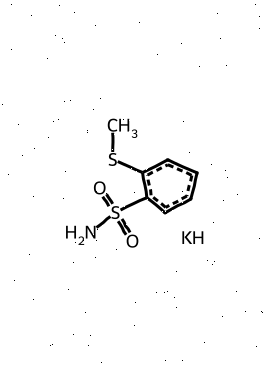 CSc1ccccc1S(N)(=O)=O.[KH]